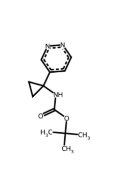 CC(C)(C)OC(=O)NC1(c2ccnnc2)CC1